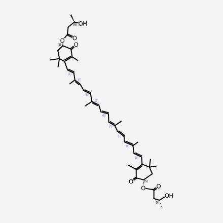 CC1=C(/C=C/C(C)=C/C=C/C(C)=C/C=C/C=C(C)/C=C/C=C(C)/C=C/C2=C(C)C(=O)[C@@H](OC(=O)C[C@@H](C)O)CC2(C)C)C(C)(C)C[C@H](OC(=O)C[C@@H](C)O)C1=O